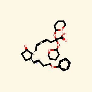 O=C1CC[C@H](/C=C/CCOc2ccccc2)[C@H]1CC=C=CCC(OC1CCCCO1)(OC1CCCCO1)C(=O)O